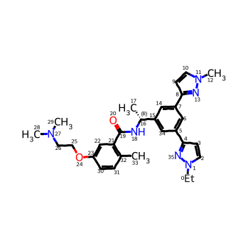 CCn1ccc(-c2cc(-c3ccn(C)n3)cc([C@@H](C)NC(=O)c3cc(OCCN(C)C)ccc3C)c2)n1